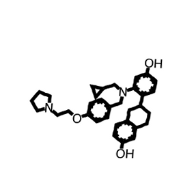 Oc1ccc2c(c1)CCC(c1ccc(O)cc1N(Cc1ccc(OCCN3CCCC3)cc1)CC1CC1)C2